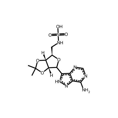 CC1(C)O[C@@H]2[C@@H](CNS(=O)(=O)O)OC(c3[nH]nc4c(N)ncnc34)[C@@H]2O1